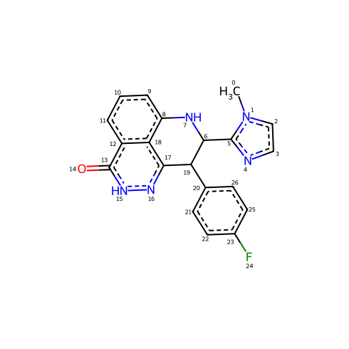 Cn1ccnc1C1Nc2cccc3c(=O)[nH]nc(c23)C1c1ccc(F)cc1